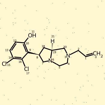 C=CCN1CCN2C[C@@H](c3c(O)ccc(Cl)c3Cl)C[C@H]2C1